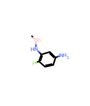 CBNc1cc(N)ccc1F